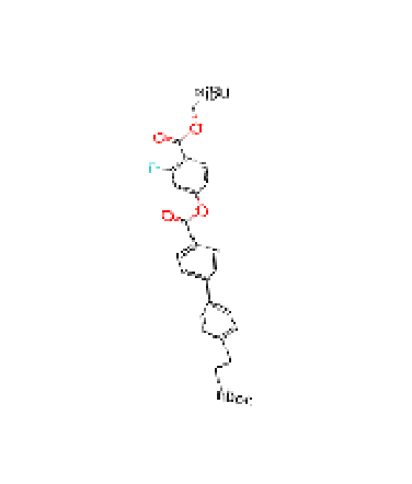 CCCCCCCCCCCCc1ccc(-c2ccc(C(=O)Oc3ccc(C(=O)OC[C@@H](C)CC)c(F)c3)cc2)cc1